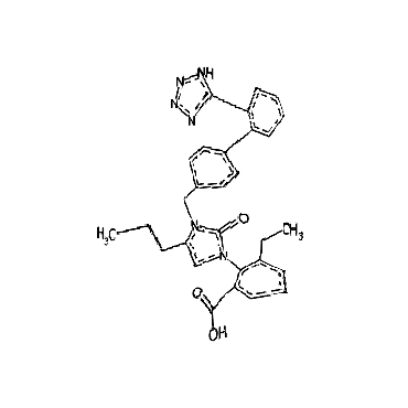 CCCc1cn(-c2c(CC)cccc2C(=O)O)c(=O)n1Cc1ccc(-c2ccccc2-c2nnn[nH]2)cc1